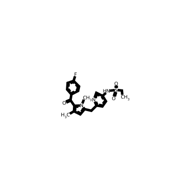 CCS(=O)(=O)Nc1ccc(Cc2cc(C)c(C(=O)c3ccc(F)cc3)n2C)nc1